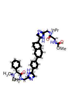 CCCN(Cc1ncc(-c2ccc3cc(-c4ccc(-c5cnc(CN(CCC)C(=O)[C@@H](c6ccccc6)N(C)C)[nH]5)cc4)ccc3c2)[nH]1)C(=O)CNC(=O)OC